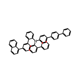 c1ccc(-c2ccc(-c3ccc(N(c4ccccc4-c4ccccc4)c4ccccc4-c4cccc(-c5cccc6ccccc56)c4)cc3)cc2)cc1